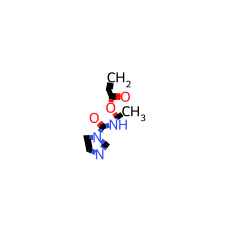 C=CC(=O)OC(C)NC(=O)n1ccnc1